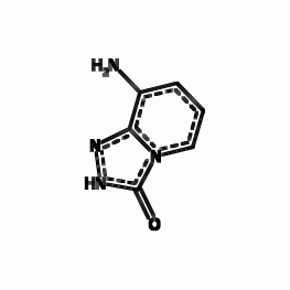 Nc1cccn2c(=O)[nH]nc12